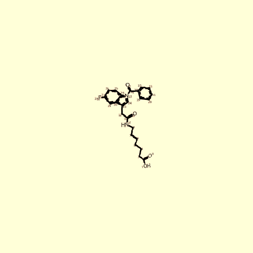 O=C(O)CCCCCCNC(=O)Cc1cn(C(=O)c2ccccc2)c2ccc(F)cc12